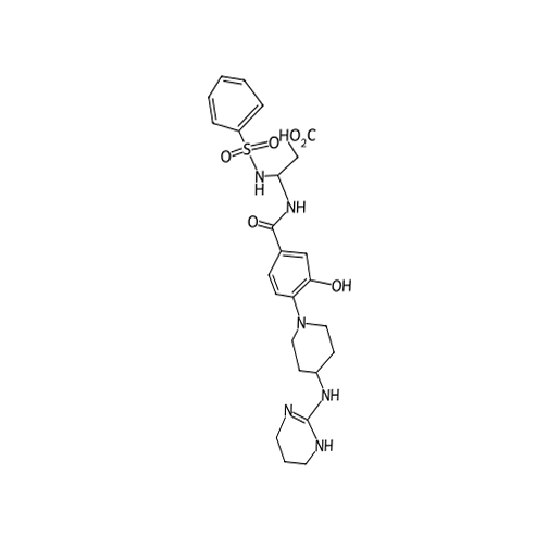 O=C(O)CC(NC(=O)c1ccc(N2CCC(NC3=NCCCN3)CC2)c(O)c1)NS(=O)(=O)c1ccccc1